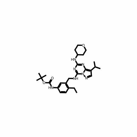 CCc1ccc(NC(=O)OC(C)(C)C)cc1CNc1nc(NC2CCOCC2)nc2c(C(C)C)cnn12